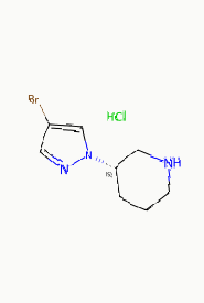 Brc1cnn([C@H]2CCCNC2)c1.Cl